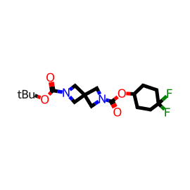 CC(C)(C)OC(=O)N1CC2(CN(C(=O)OC3CCC(F)(F)CC3)C2)C1